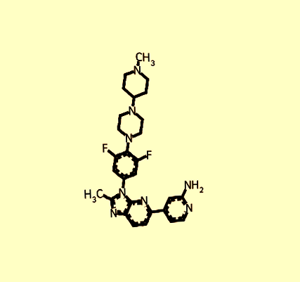 Cc1nc2ccc(-c3ccnc(N)c3)nc2n1-c1cc(F)c(N2CCN(C3CCN(C)CC3)CC2)c(F)c1